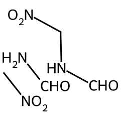 C[N+](=O)[O-].NC=O.O=CNC[N+](=O)[O-]